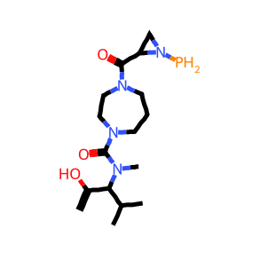 C=C(O)C(C(C)C)N(C)C(=O)N1CCCN(C(=O)C2CN2P)CC1